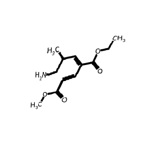 CCOC(=O)C(C=CC(=O)OC)=CC(C)CN